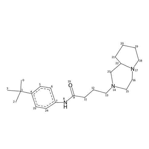 CC(C)(C)c1ccc(NC(=O)CCCN2CCN3CCCCC3C2)cc1